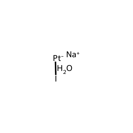 O.[I][Pt-].[Na+]